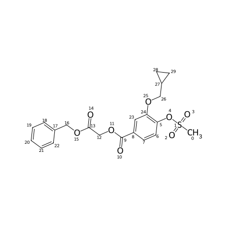 CS(=O)(=O)Oc1ccc(C(=O)OCC(=O)OCc2ccccc2)cc1OCC1CC1